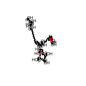 O=C(O)CC[C@H](NC(=O)NNC(=O)CCCCCCCCCCN1CCN(c2nc(Nc3ccc(CC4CN(CC(=O)O)CCN(CC(=O)O)CCN(CC(=O)O)CCN4CC(=O)O)cc3)nc(N[C@@H](CCCCN(Cc3nccn3CC(=O)O)Cc3nccn3CC(=O)O)C(=O)O)n2)CC1)C(=O)O